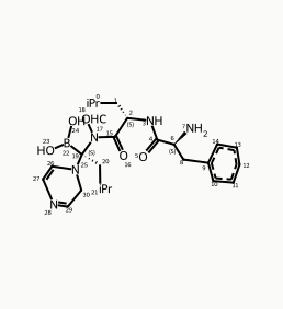 CC(C)C[C@H](NC(=O)[C@@H](N)Cc1ccccc1)C(=O)N(C=O)[C@](CC(C)C)(B(O)O)N1C=CN=CC1